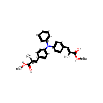 CCCCOC(=O)/C(C#N)=C/c1ccc(N(c2ccccc2)c2ccc(/C=C(\C#N)C(=O)OCCCC)cc2)cc1